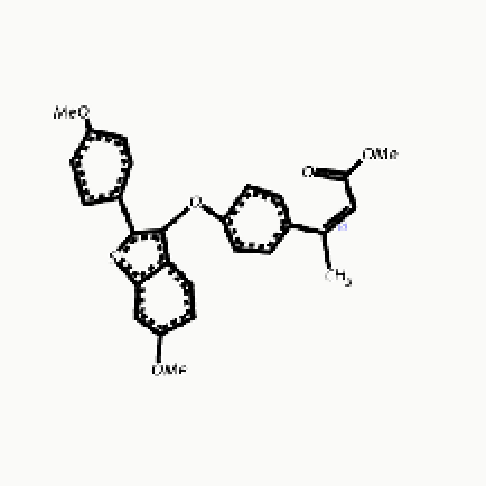 COC(=O)/C=C(/C)c1ccc(Oc2c(-c3ccc(OC)cc3)sc3cc(OC)ccc23)cc1